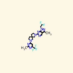 Cc1nc(N2CCC3(CCN(c4ncc5c(C)nn(CC(F)F)c5n4)C3)C2)cc(C(F)(F)F)n1